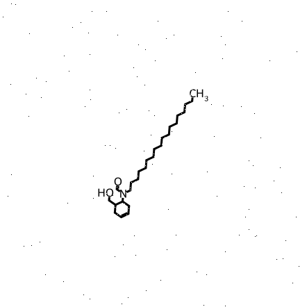 CCCCCCCCCCCCCCCCCCN(C=O)C1CC=CCC1CO